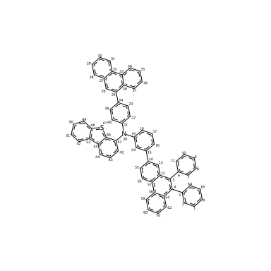 c1ccc(-c2c(-c3ccccc3)c3cc(-c4cccc(N(c5ccc(-c6cc7ccccc7c7ccccc67)cc5)c5cccc6c5sc5ccccc56)c4)ccc3c3ccccc23)cc1